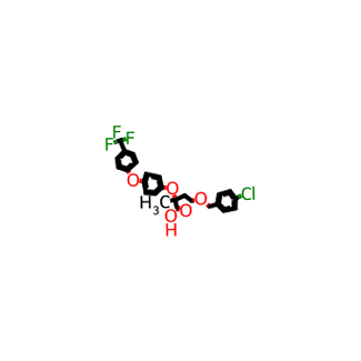 CC(CCOCc1ccc(Cl)cc1)(Oc1ccc(Oc2ccc(C(F)(F)F)cc2)cc1)C(=O)O